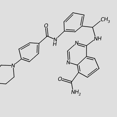 CC(Nc1ncnc2c(C(N)=O)cccc12)c1cccc(NC(=O)c2ccc(N3CCOCC3)cc2)c1